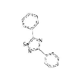 c1ccc(-c2n[se]c(-c3ccccc3)n2)cc1